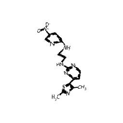 Cc1nc(C)c(-c2ccnc(NCCNc3ccc([N+](=O)[O-])cn3)n2)s1